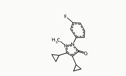 Cn1c(C2CC2)c(C2CC2)c(=O)n1-c1cccc(F)c1